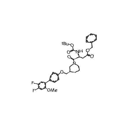 COc1cc(F)c(F)cc1-c1ccc(OCC2CCCN(C(=O)C(CC(=O)OCc3ccccc3)NC(=O)OC(C)(C)C)C2)cc1